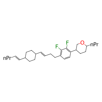 CCC/C=C/C1CCC(/C=C/CCc2ccc(C3CCC(CCC)OC3)c(F)c2F)CC1